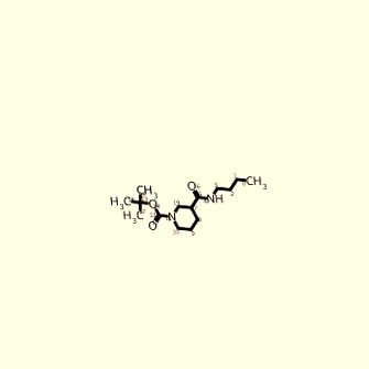 CCCCNC(=O)C1CCCN(C(=O)OC(C)(C)C)C1